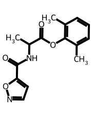 Cc1cccc(C)c1OC(=O)C(C)NC(=O)c1ccno1